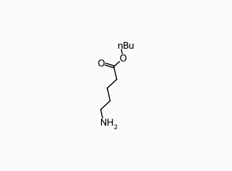 CCCCOC(=O)CCCCN